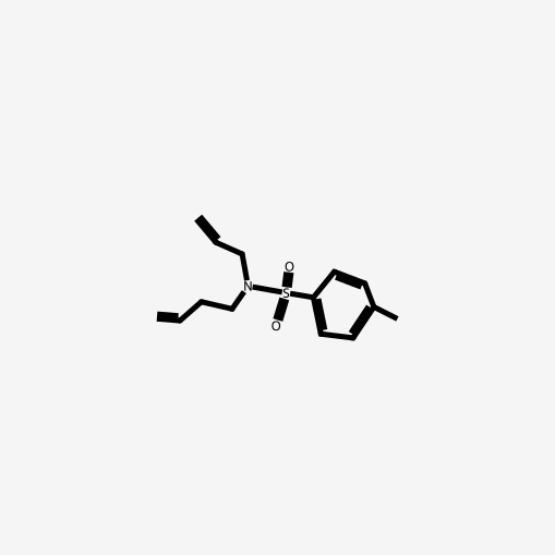 C=CCCN(CC=C)S(=O)(=O)c1ccc(C)cc1